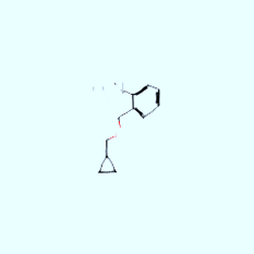 O=[N+]([O-])c1ccccc1COCC1CC1